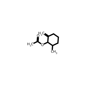 C=C1CCCC(C)C1OC(C)=O